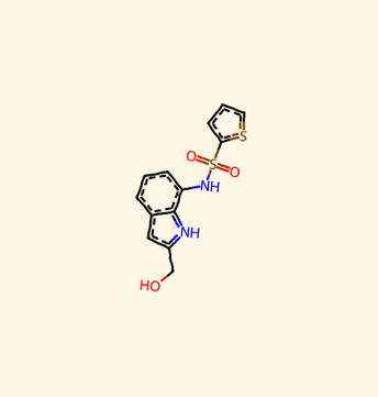 O=S(=O)(Nc1cccc2cc(CO)[nH]c12)c1cccs1